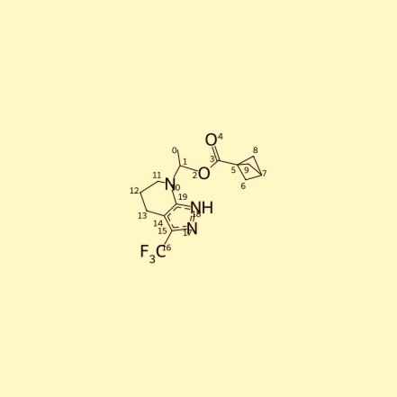 CC(OC(=O)C12CC(C1)C2)N1CCCc2c(C(F)(F)F)n[nH]c21